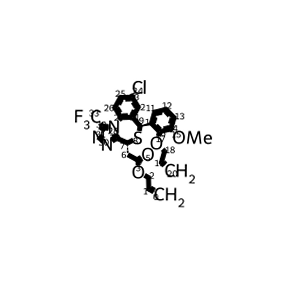 C=CCOC(=O)C[C@H]1S[C@H](c2cccc(OC)c2OCC=C)c2cc(Cl)ccc2-n2c1nnc2C(F)(F)F